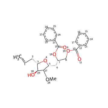 C=CC[C@@H]1O[C@H](C[C@@H](COC(=O)c2ccccc2)OC(=O)c2ccccc2)C(OC)[C@H]1O